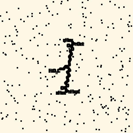 CCCCCCCCC(CCCCCC)C(=O)OCCCCCCN(CCCCCCOC(=O)C(CCCCCC)CCCCCCC)CCCC(=O)OCC